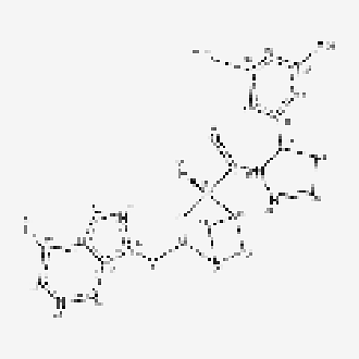 O=C([C@H]1CC(Cn2ncc3c(F)cncc32)C2CC1C2)N1N=CCC1c1cc(F)cc(F)c1